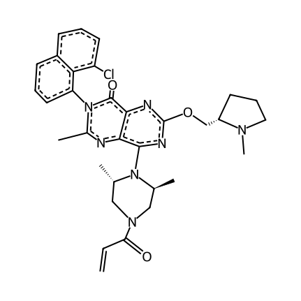 C=CC(=O)N1C[C@H](C)N(c2nc(OC[C@@H]3CCCN3C)nc3c(=O)n(-c4cccc5cccc(Cl)c45)c(C)nc23)[C@@H](C)C1